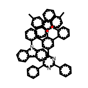 Cc1ccc2c(c1)c1cc(C)ccc1n2-c1c(-c2ccccc2-n2c3ccccc3c3ccccc32)cc(-c2nc(-c3ccccc3)nc(-c3ccccc3)n2)cc1-c1ccccc1-n1c2ccccc2c2ccccc21